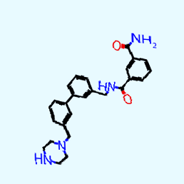 NC(=O)c1cccc(C(=O)NCc2cccc(-c3cccc(CN4CCNCC4)c3)c2)c1